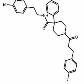 CCc1ccc(CCNC(=O)C2(c3ccccc3)CCN(C(=O)CCc3ccc(F)cc3)CC2)cc1